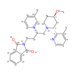 CO[C@H]1C[C@H](c2ncccc2C)N(CCCCN2C(=O)c3ccccc3C2=O)[C@H](c2ncccc2C)C1